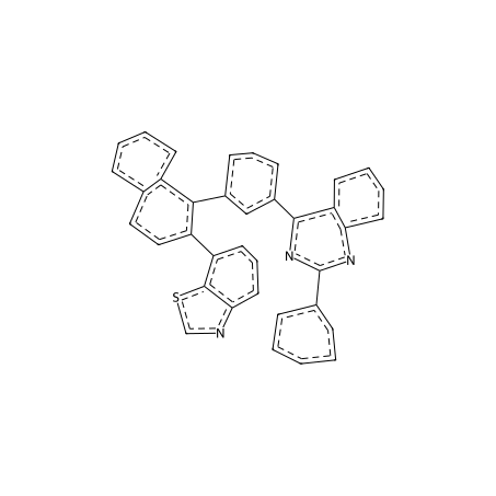 c1ccc(-c2nc(-c3cccc(-c4c(-c5cccc6ncsc56)ccc5ccccc45)c3)c3ccccc3n2)cc1